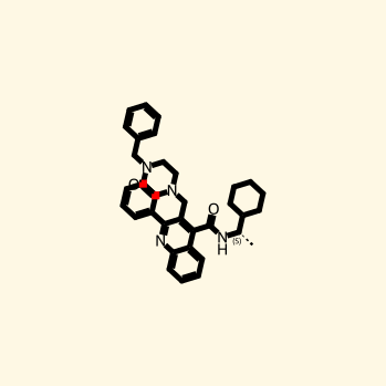 C[C@H](NC(=O)c1c(CN2CCN(Cc3ccccc3)C(=O)C2)c(-c2ccccc2)nc2ccccc12)C1CCCCC1